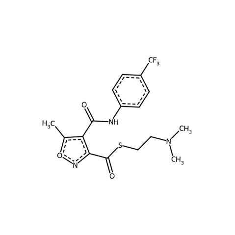 Cc1onc(C(=O)SCCN(C)C)c1C(=O)Nc1ccc(C(F)(F)F)cc1